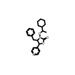 CC(ON1C(=O)OC(c2ccncc2)C1Cc1ccccc1)C1CCCCC1